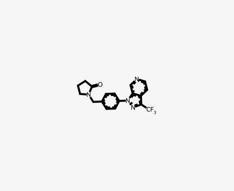 O=C1CCCN1Cc1ccc(-n2nc(C(F)(F)F)c3ccncc32)cc1